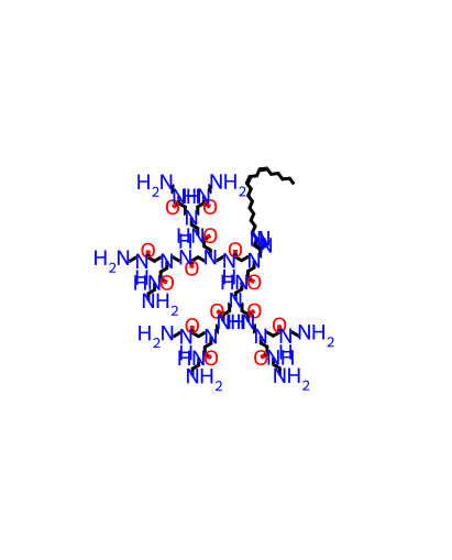 CCCCC/C=C\C/C=C\CCCCCCCCn1cc(CN(CCC(=O)NCCN(CCC(=O)NCCN(CCC(=O)NCCN)CCC(=O)NCCN)CCC(=O)NCCN(CCC(=O)NCCN)CCC(=O)NCCN)CCC(=O)NCCN(CCC(=O)NCCN(CCC(=O)NCCN)CCC(=O)NCCN)CCC(=O)NCCN(CCC(=O)NCCN)CCC(=O)NCCN)nn1